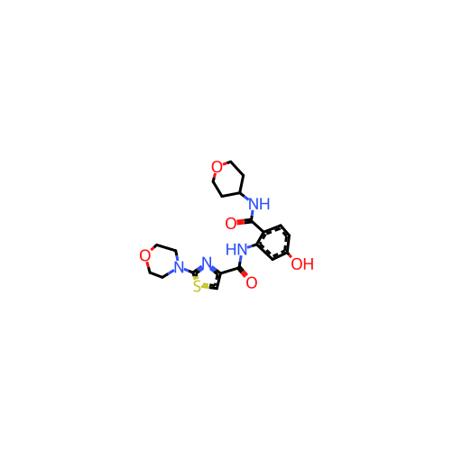 O=C(Nc1cc(O)ccc1C(=O)NC1CCOCC1)c1csc(N2CCOCC2)n1